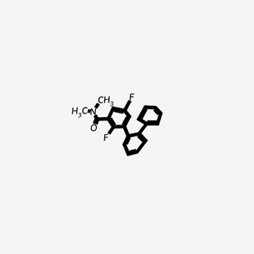 CN(C)C(=O)c1cc(F)cc(-c2ccccc2-c2ccccc2)c1F